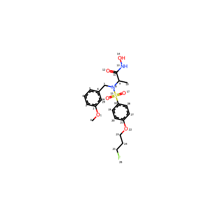 COc1cccc(CN(C(C)C(=O)NO)S(=O)(=O)c2ccc(OCCCF)cc2)c1